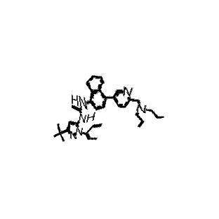 C=C/C(=C\C)n1nc(C(C)(C)C)cc1NC(=C)Nc1ccc(-c2ccc(CN(CCC)CCC)nc2)c2ccccc12